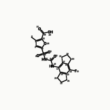 Cc1cc(S(=O)(=O)NC(=O)Nc2c3c(c(F)c4c2CCC4)CCC3)oc1C(=O)O